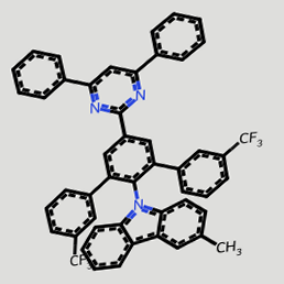 Cc1ccc2c(c1)c1ccccc1n2-c1c(-c2cccc(C(F)(F)F)c2)cc(-c2nc(-c3ccccc3)cc(-c3ccccc3)n2)cc1-c1cccc(C(F)(F)F)c1